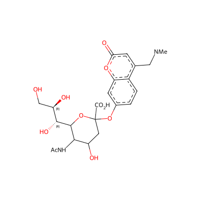 CNCc1cc(=O)oc2cc(OC3(C(=O)O)CC(O)C(NC(C)=O)C([C@H](O)[C@H](O)CO)O3)ccc12